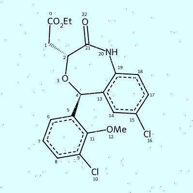 CCOC(=O)C[C@H]1O[C@H](c2cccc(Cl)c2OC)c2cc(Cl)ccc2NC1=O